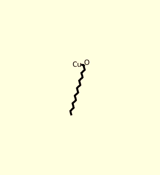 CCCCCCCCCCCCC[C](=O)[Cu]